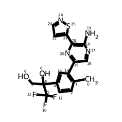 Cc1ccc(C(O)(CO)C(F)(F)F)cc1-c1cnc(N)c(-c2ccns2)n1